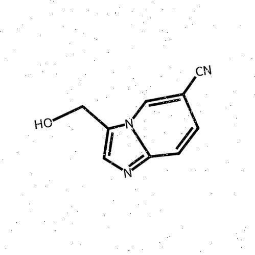 N#Cc1ccc2ncc(CO)n2c1